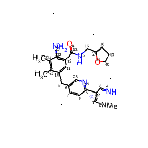 CN/C=C(\C=N)c1ccc(Cc2cc(C(=O)NCC3CCCO3)c(N)c(C)c2C)cn1